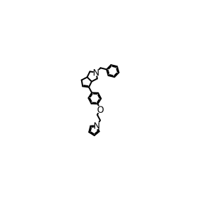 C1=C(c2ccc(OCCn3cccc3)cc2)C2CN(Cc3ccccc3)CC2C1